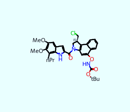 CCCc1c(OC)c(OC)cc2cc(C(=O)N3C[C@@H](CCl)c4c3cc(ONC(=O)OC(C)(C)C)c3ccccc43)[nH]c12